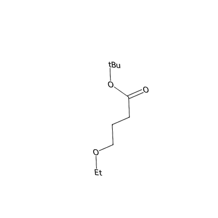 CCOCCCC(=O)OC(C)(C)C